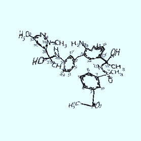 CC(=O)c1cccc(S(C)(=O)=NC(C)(O)c2cnc(N)c(-c3cccc(NC(C)(O)c4cc(C)nn4C)c3)c2)c1